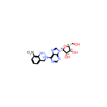 Nc1c(CNc2ncnc3c2ncn3[C@@H]2O[C@H](CO)[C@@H](O)[C@H]2O)cccc1[N+](=O)[O-]